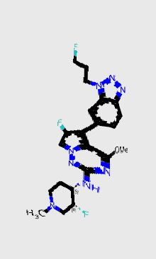 COc1nc(N[C@H]2CCN(C)C[C@H]2F)nn2cc(F)c(-c3ccc4nnn(CCCF)c4c3)c12